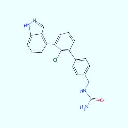 NC(=O)NCc1ccc(-c2cccc(-c3cccc4[nH]ncc34)c2Cl)cc1